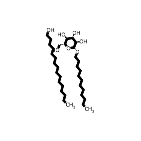 CCCCCCCCCCCCCCCCO.CCCCCCCCCCCCO[C@@H]1O[C@H](CO)[C@@H](O)[C@H](O)[C@H]1O